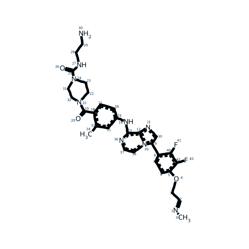 C/N=C/COc1ccc(-c2cnc3c(Nc4ccc(C(=O)N5CCN(C(=O)NCCN)CC5)c(C)c4)nccn23)c(F)c1F